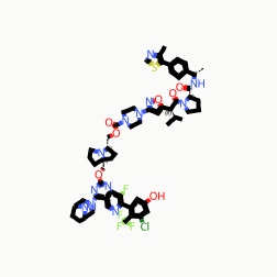 Cc1ncsc1-c1ccc([C@H](C)NC(=O)[C@@H]2CCCN2C(=O)[C@@H](c2cc(N3CCN(C(=O)OC[C@@H]4CC[C@@]5(COc6nc(N7CC8CCC(C7)N8)c7cnc(-c8cc(O)cc(Cl)c8C(F)(F)F)c(F)c7n6)CCCN45)CC3)no2)C(C)C)cc1